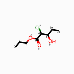 CCCOC(=O)C(Cl)C(O)CC